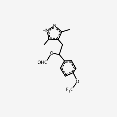 Cc1n[nH]c(C)c1CC(OC=O)c1ccc(OC(F)(F)F)cc1